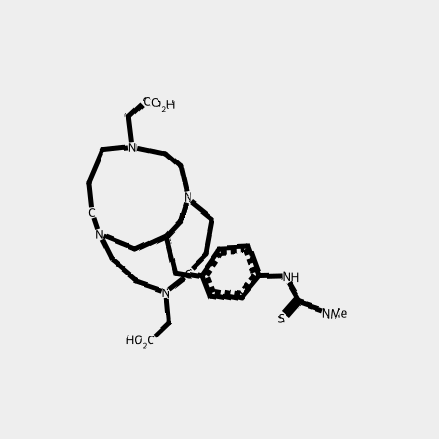 CNC(=S)Nc1ccc(CC2CN3CCCN(CC(=O)O)CCN(CCCN(CC(=O)O)CC3)C2)cc1